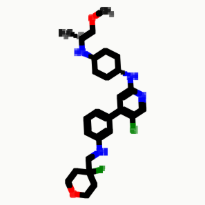 COC[C@@H](C)N[C@H]1CC[C@H](Nc2cc(-c3cccc(NCC4(F)CCOCC4)c3)c(Cl)cn2)CC1